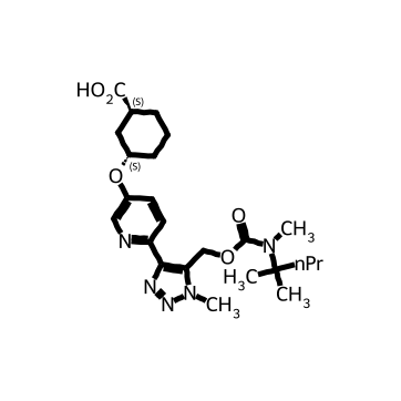 CCCC(C)(C)N(C)C(=O)OCc1c(-c2ccc(O[C@H]3CCC[C@H](C(=O)O)C3)cn2)nnn1C